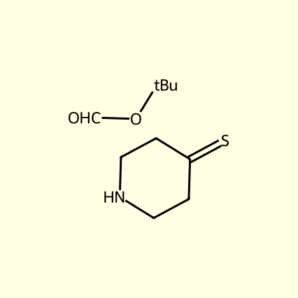 CC(C)(C)OC=O.S=C1CCNCC1